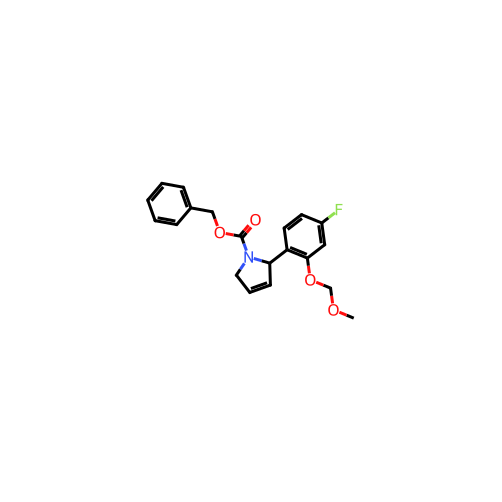 COCOc1cc(F)ccc1C1C=CCN1C(=O)OCc1ccccc1